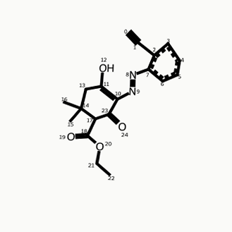 C#Cc1ccccc1/N=N/C1=C(O)CC(C)(C)C(C(=O)OCC)C1=O